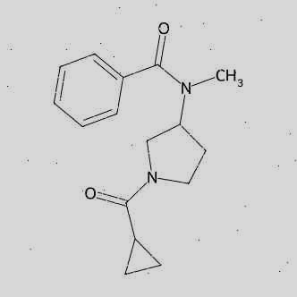 CN(C(=O)c1ccccc1)C1CCN(C(=O)C2CC2)C1